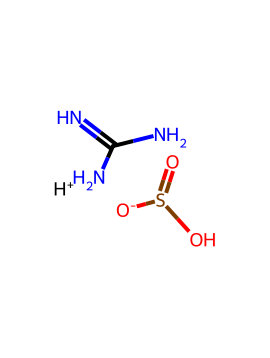 N=C(N)N.O=S([O-])O.[H+]